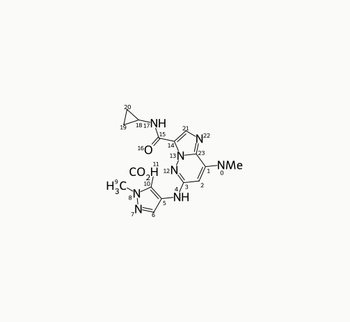 CNc1cc(Nc2cnn(C)c2C(=O)O)nn2c(C(=O)NC3CC3)cnc12